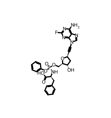 Nc1nc(F)nc2c1ncn2C#C[C@H]1C[C@H](O)[C@@H](COP(=O)(N[C@@H](Cc2ccccc2)C(=O)O)Oc2ccccc2)O1